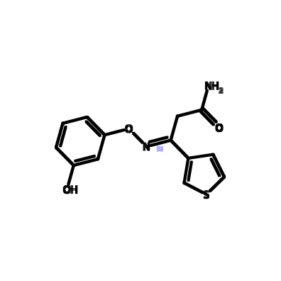 NC(=O)C/C(=N\Oc1cccc(O)c1)c1ccsc1